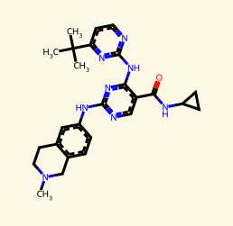 CN1CCc2cc(Nc3ncc(C(=O)NC4CC4)c(Nc4nccc(C(C)(C)C)n4)n3)ccc2C1